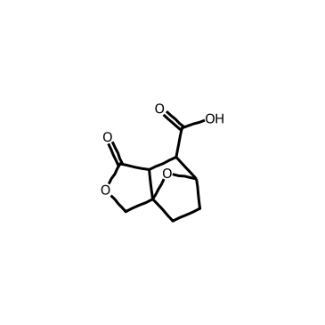 O=C(O)C1C2CCC3(COC(=O)C13)O2